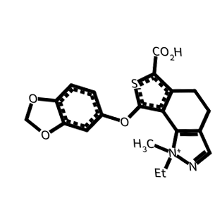 CC[N+]1(C)N=CC2=C1c1c(Oc3ccc4c(c3)OCO4)sc(C(=O)O)c1CC2